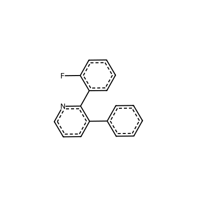 Fc1ccccc1-c1ncccc1-c1ccccc1